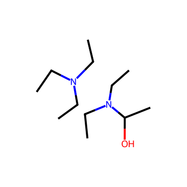 CCN(CC)C(C)O.CCN(CC)CC